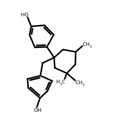 CC1CC(C)(C)CC(Cc2ccc(O)cc2)(c2ccc(O)cc2)C1